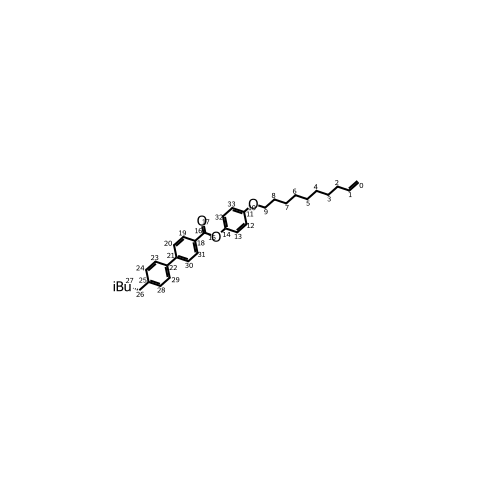 C=CCCCCCCCCOc1ccc(OC(=O)c2ccc(-c3ccc(C[C@@H](C)CC)cc3)cc2)cc1